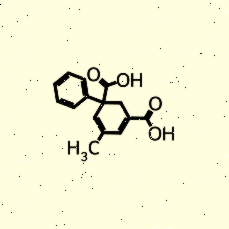 CC1=CC(C(=O)O)(c2ccccc2)CC(C(=O)O)=C1